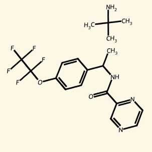 CC(C)(C)N.CC(NC(=O)c1cnccn1)c1ccc(OC(F)(F)C(F)(F)F)cc1